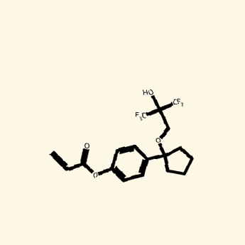 C=CC(=O)Oc1ccc(C2(OCC(O)(C(F)(F)F)C(F)(F)F)CCCC2)cc1